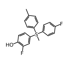 Cc1ccc(S(C)(c2ccc(F)cc2)c2ccc(O)c(F)c2)cc1